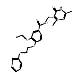 CCOc1cc(C(=O)NCc2c(C)cc(C)[nH]c2=O)ccc1OCCOc1ccccc1